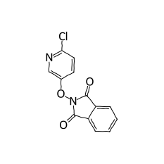 O=C1c2ccccc2C(=O)N1Oc1ccc(Cl)nc1